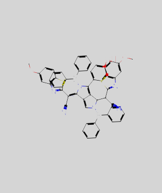 COc1ccc2sc(/C(C#N)=c3/c4c(c(-c5ccc(O)cc5)n3B(c3ccccc3)c3ccccc3)C(C(C#N)c3nc5cc(OC)ccc5s3)N(B(c3ccccc3)c3ccccc3)C=4)nc2c1